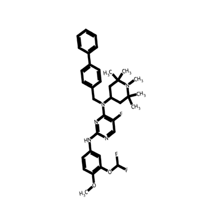 COc1ccc(Nc2ncc(F)c(N(Cc3ccc(-c4ccccc4)cc3)C3CC(C)(C)N(C)C(C)(C)C3)n2)cc1OC(F)F